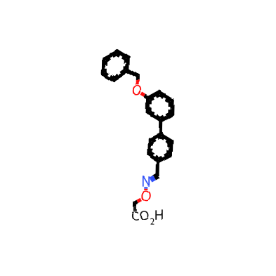 O=C(O)CON=Cc1ccc(-c2cccc(OCc3ccccc3)c2)cc1